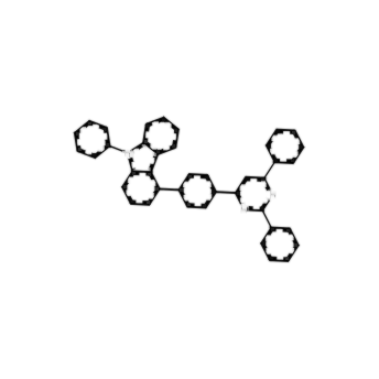 c1ccc(-c2cc(-c3ccc(-c4cccc5c4c4ccccc4n5-c4ccccc4)cc3)nc(-c3ccccc3)n2)cc1